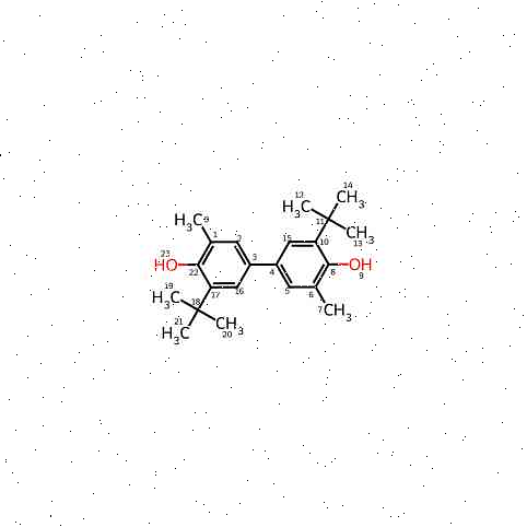 Cc1cc(-c2cc(C)c(O)c(C(C)(C)C)c2)cc(C(C)(C)C)c1O